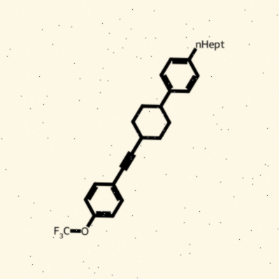 CCCCCCCc1ccc(C2CCC(C#Cc3ccc(OC(F)(F)F)cc3)CC2)cc1